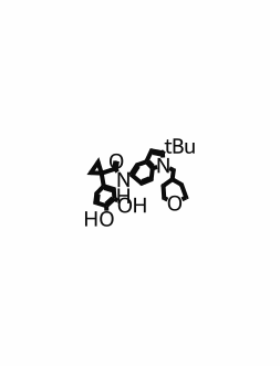 CC(C)(C)c1cc2cc(NC(=O)C3(c4ccc(O)c(O)c4)CC3)ccc2n1CC1CCOCC1